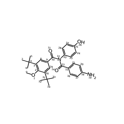 COc1c(C(C)(C)C)cc(C(=O)N(C(=O)c2ccc(N)cc2)c2ccc(O)cc2)cc1C(C)(C)C